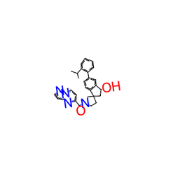 CC(C)c1ccccc1-c1ccc2c(c1)C(O)CC21CCN(C(=O)c2ccn3nccc3n2)C1